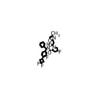 Cc1coc(CC(=O)N2C[C@H](F)C[C@H]2C(=O)N[C@@H](c2ccccc2)c2ccc(C3CC(F)(F)C3)c(F)c2)n1